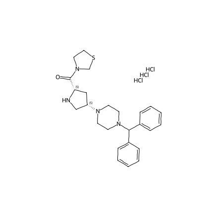 Cl.Cl.Cl.O=C([C@@H]1C[C@H](N2CCN(C(c3ccccc3)c3ccccc3)CC2)CN1)N1CCSC1